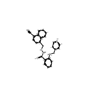 N#Cc1ccc(CONC(=O)c2ccccc2NCc2ccncc2)c2ccccc12